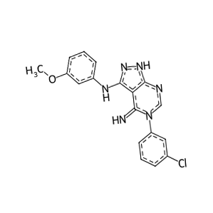 COc1cccc(Nc2n[nH]c3ncn(-c4cccc(Cl)c4)c(=N)c23)c1